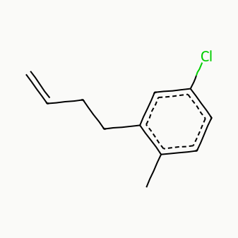 C=CCCc1cc(Cl)ccc1C